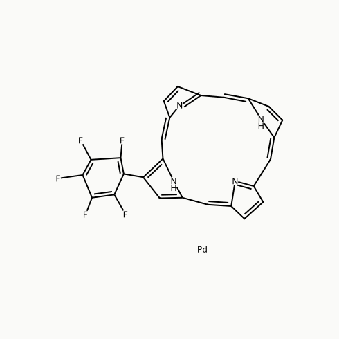 Fc1c(F)c(F)c(-c2cc3cc4nc(cc5ccc(cc6nc(cc2[nH]3)C=C6)[nH]5)C=C4)c(F)c1F.[Pd]